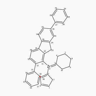 C1=CC[C]([Zr](=[C]2CCCCC2)[c]2c(-c3ccccc3)ccc3c2Cc2cc(-c4ccccc4)ccc2-3)=C1